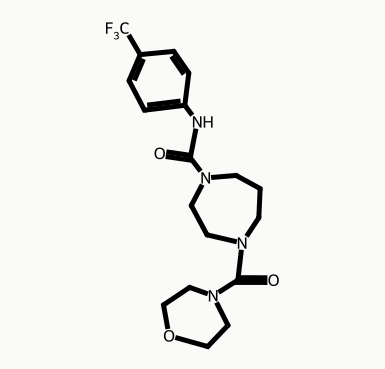 O=C(Nc1ccc(C(F)(F)F)cc1)N1CCCN(C(=O)N2CCOCC2)CC1